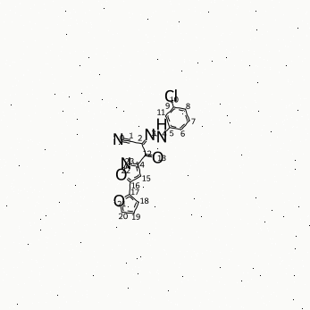 N#CC(=NNc1cccc(Cl)c1)C(=O)c1cc(-c2ccco2)on1